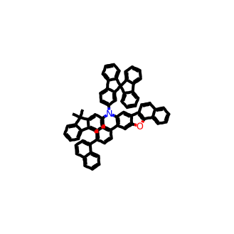 CC1(C)c2ccccc2-c2ccc(N(c3ccc4c(c3)C3(c5ccccc5-c5ccccc53)c3ccccc3-4)c3cc4c(cc3-c3ccc(-c5cccc6ccccc56)cc3)oc3c5ccccc5ccc43)cc21